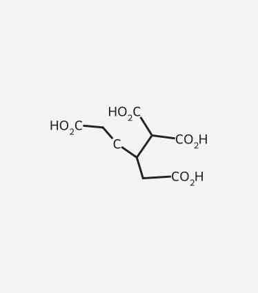 O=C(O)CCC(CC(=O)O)C(C(=O)O)C(=O)O